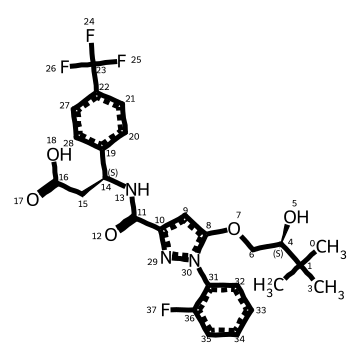 CC(C)(C)[C@H](O)COc1cc(C(=O)N[C@@H](CC(=O)O)c2ccc(C(F)(F)F)cc2)nn1-c1ccccc1F